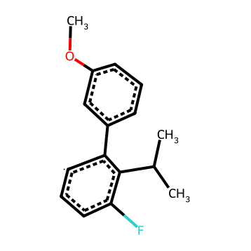 COc1cccc(-c2[c]ccc(F)c2C(C)C)c1